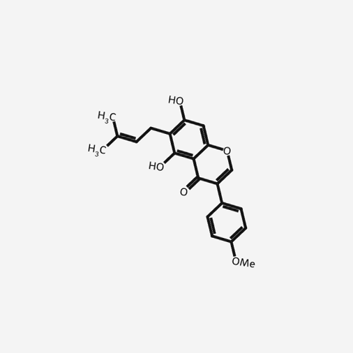 COc1ccc(-c2coc3cc(O)c(CC=C(C)C)c(O)c3c2=O)cc1